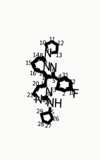 Fc1ccc(-c2nn3c(N4CCCC4)cccc3c2-c2ccnc(NC3CCCC3)n2)cc1